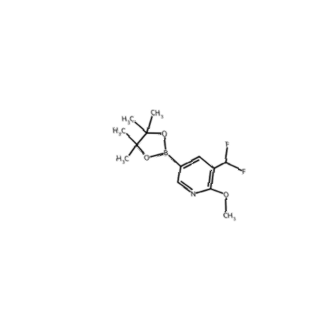 COc1ncc(B2OC(C)(C)C(C)(C)O2)cc1C(F)F